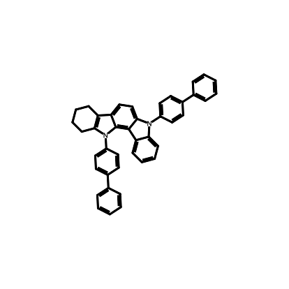 c1ccc(-c2ccc(-n3c4c(c5ccc6c(c7ccccc7n6-c6ccc(-c7ccccc7)cc6)c53)CCCC4)cc2)cc1